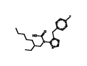 CCCCCC(CC)CN(C(=O)O)c1sccc1Cc1ccc(F)cc1